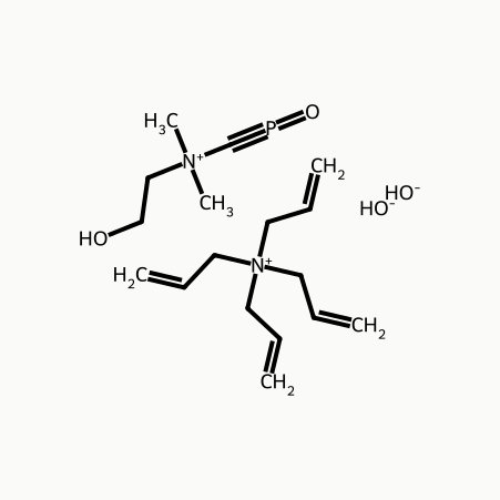 C=CC[N+](CC=C)(CC=C)CC=C.C[N+](C)(C#P=O)CCO.[OH-].[OH-]